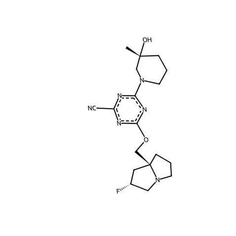 C[C@@]1(O)CCCN(c2nc(C#N)nc(OC[C@@]34CCCN3C[C@H](F)C4)n2)C1